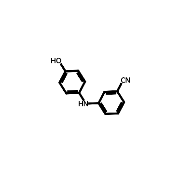 N#Cc1cccc(Nc2ccc(O)cc2)c1